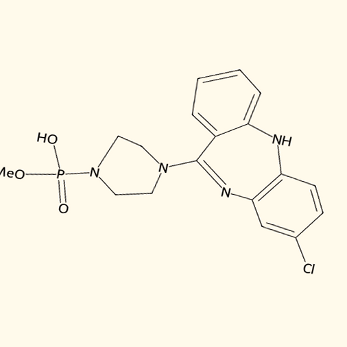 COP(=O)(O)N1CCN(C2=Nc3cc(Cl)ccc3Nc3ccccc32)CC1